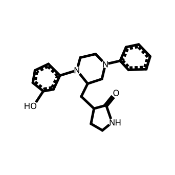 O=C1NCCC1CC1CN(c2ccccc2)CCN1c1cccc(O)c1